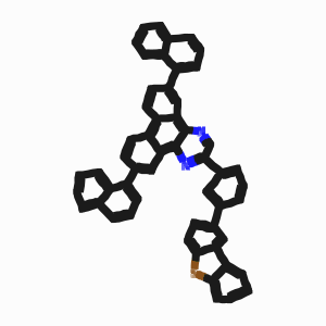 c1cc(-c2ccc3sc4ccccc4c3c2)cc(-c2cnc3c4cc(-c5cccc6ccccc56)ccc4c4ccc(-c5cccc6ccccc56)cc4c3n2)c1